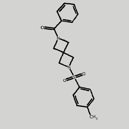 Cc1ccc(S(=O)(=O)N2CC3(CN(C(=O)c4ccccc4)C3)C2)cc1